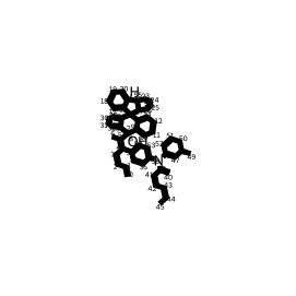 C=C/C=C\C(=C(/C)C1(O)c2ccccc2C2(c3ccccc3[C@H]3C=CC=CC32)c2ccccc21)c1ccc(N(C(=C)/C=C\C=C/C)C2=CC(C)CC=C2)cc1